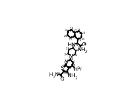 CCCc1cc(N2CCC(NC(C(N)=O)c3cccc4ccccc34)CC2)nc2sc(C(N)=O)c(N)c12